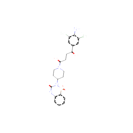 Nc1c(Br)cc(C(=O)CCC(=O)N2CCC(N3C(=O)Nc4ccccc4S3(=O)=O)CC2)cc1Br